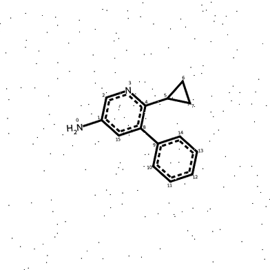 Nc1cnc(C2CC2)c(-c2ccccc2)c1